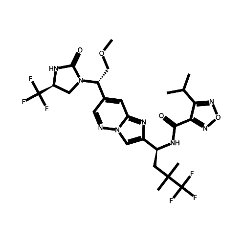 COC[C@H](c1cnn2cc([C@H](CC(C)(C)C(F)(F)F)NC(=O)c3nonc3C(C)C)nc2c1)N1C[C@@H](C(F)(F)F)NC1=O